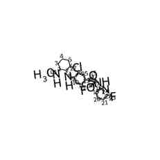 CN[C@H]1CCCCC1Nc1cc(F)c(S(=O)(=O)Nc2cccc(F)n2)cc1Cl